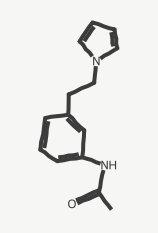 CC(=O)Nc1cccc(CCn2cccc2)c1